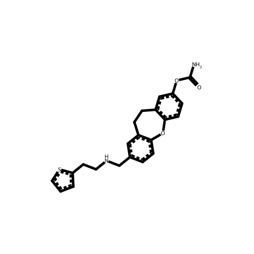 NC(=O)Oc1ccc2c(c1)CCc1cc(CNCCc3cccs3)ccc1O2